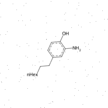 CCCCCCCCc1ccc(O)c(N)c1